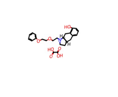 O=C(O)C(=O)O.Oc1cccc2c1C[C@@H]1[C@@H](CCN1CCOCCOc1ccccc1)C2